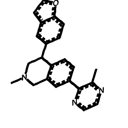 Cc1nccnc1-c1ccc2c(c1)CN(C)CC2c1ccc2occc2c1